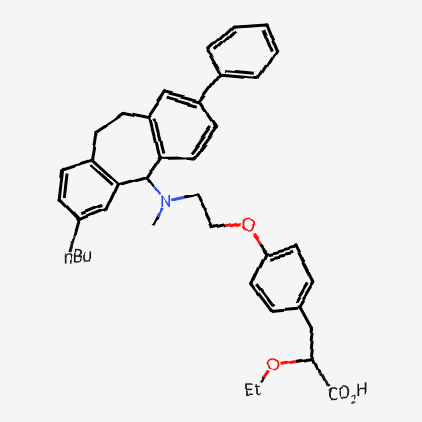 CCCCc1ccc2c(c1)C(N(C)CCOc1ccc(CC(OCC)C(=O)O)cc1)c1ccc(-c3ccccc3)cc1CC2